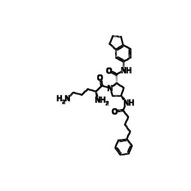 NCCC[C@H](N)C(=O)N1C[C@H](NC(=O)CCCc2ccccc2)C[C@H]1C(=O)Nc1ccc2c(c1)CCC2